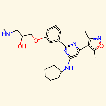 CNCC(O)COc1cccc(-c2nc(NC3CCCCC3)cc(-c3c(C)noc3C)n2)c1